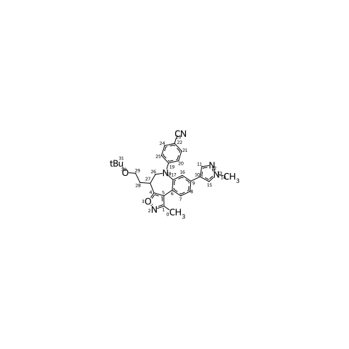 Cc1noc2c1-c1ccc(-c3cnn(C)c3)cc1N(c1ccc(C#N)cc1)CC2CCOC(C)(C)C